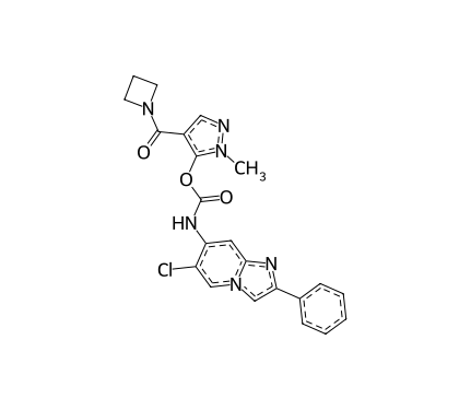 Cn1ncc(C(=O)N2CCC2)c1OC(=O)Nc1cc2nc(-c3ccccc3)cn2cc1Cl